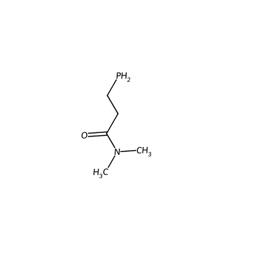 CN(C)C(=O)CCP